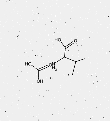 CC(C)C(N)C(=O)O.O=C(O)O